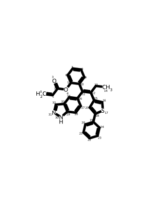 C=CC(=O)Oc1ccccc1/C(=C(\CC)c1csc(-c2ccccc2)c1)c1ccc2[nH]ncc2c1